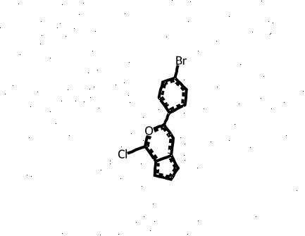 Clc1oc(-c2ccc(Br)cc2)cc2cccc1-2